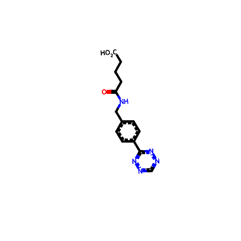 O=C(O)CCCC(=O)NCc1ccc(-c2nncnn2)cc1